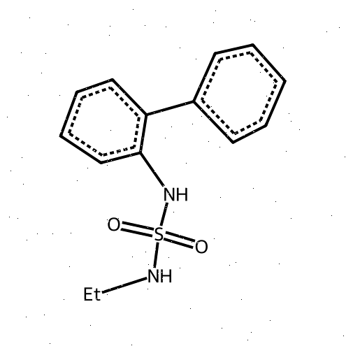 CCNS(=O)(=O)Nc1ccccc1-c1ccccc1